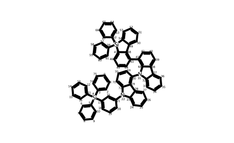 c1ccc([Si](c2ccccc2)(c2ccccc2)c2cccc(-n3c4ccccc4c4c(-n5c6ccccc6c6cccc(-c7cccc8c7-c7ccccc7[Si]8(c7ccccc7)c7ccccc7)c65)cccc43)c2)cc1